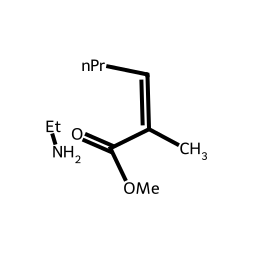 CCCC=C(C)C(=O)OC.CCN